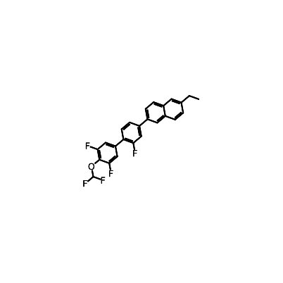 CCc1ccc2cc(-c3ccc(-c4cc(F)c(OC(F)F)c(F)c4)c(F)c3)ccc2c1